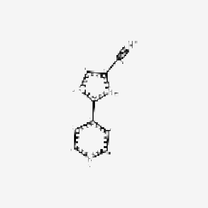 N#Cc1csc(-c2ccncc2)n1